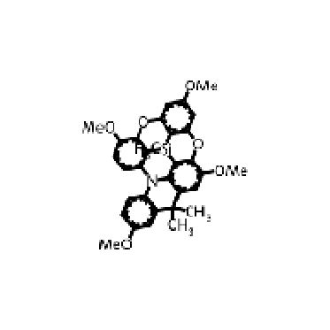 COc1cc2c3c(c1)Oc1c(OC)cc4c5c1[Si]3(C)c1c(ccc(OC)c1O2)N5c1ccc(OC)cc1C4(C)C